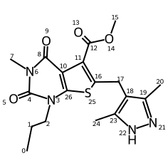 CCCn1c(=O)n(C)c(=O)c2c(C(=O)OC)c(Cc3c(C)n[nH]c3C)sc21